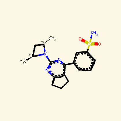 C[C@H]1C[C@H](C)N1c1nc2c(c(-c3cccc(S(N)(=O)=O)c3)n1)CCC2